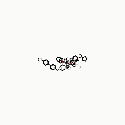 CC(C)(C)OC(=O)NC1CC2CCC(C1)N2C(=O)[C@@H]1CN(Cc2ccc(-c3ccc(Cl)cc3)cc2)CCN1S(=O)(=O)c1ccc2cc(OC3CCCC3)ccc2c1